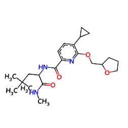 CNC(=O)C(CC(C)(C)C)NC(=O)c1ccc(C2CC2)c(OCC2CCCO2)n1